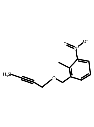 O=[N+]([O-])c1cccc(COCC#C[SiH3])c1I